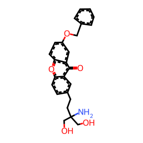 NC(CO)(CO)CCc1ccc2oc3ccc(OCc4ccccc4)cc3c(=O)c2c1